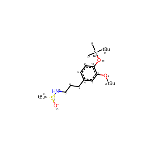 CC(C)(C)Oc1cc(CCCN[S@+]([O-])C(C)(C)C)ccc1O[Si](C)(C)C(C)(C)C